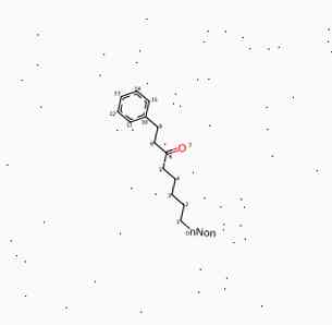 CCCCCCCCCCCCCCC(=O)CCc1ccccc1